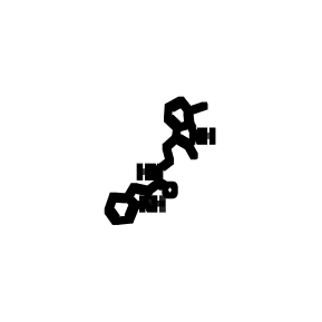 Cc1[nH]c2c(C)cccc2c1CCNC(=O)c1cc2ccccc2[nH]1